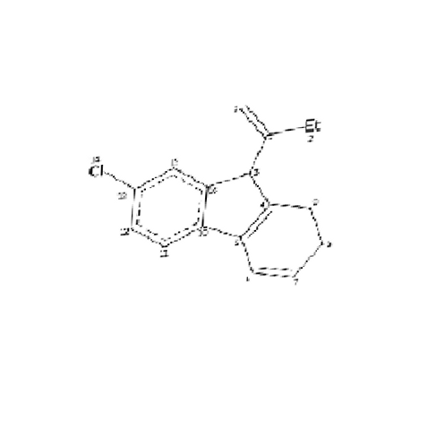 C=C(CC)C1C2=C(C=CCC2)c2ccc(Cl)cc21